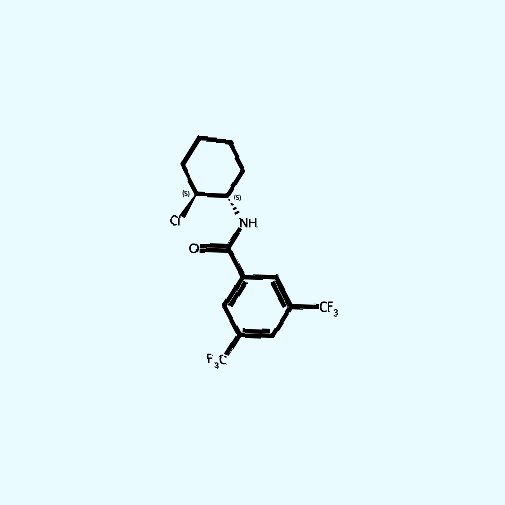 O=C(N[C@H]1CCCC[C@@H]1Cl)c1cc(C(F)(F)F)cc(C(F)(F)F)c1